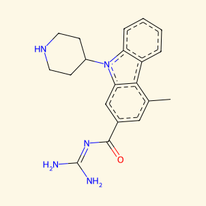 Cc1cc(C(=O)N=C(N)N)cc2c1c1ccccc1n2C1CCNCC1